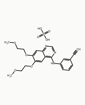 C#Cc1cccc(Nc2ncnc3cc(OCCOC)c(OCCOC)cc23)c1.O=S(=O)(O)O